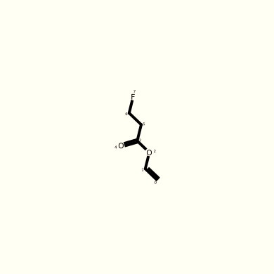 C=COC(=O)CCF